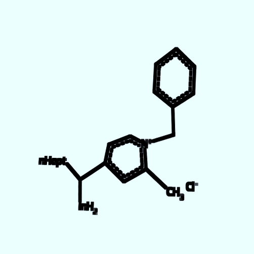 CCCCCCC[CH]([InH2])c1cc[n+](Cc2ccccc2)c(C)c1.[Cl-]